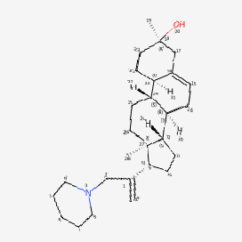 C=C(CN1CCCCC1)[C@H]1CC[C@H]2[C@@H]3CC=C4C[C@](C)(O)CC[C@@H]4[C@H]3CC[C@]12C